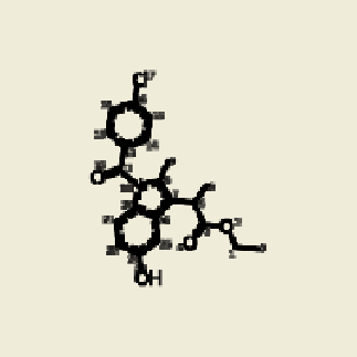 CCOC(=O)C(C)c1c(C)n(C(=O)c2ccc(Cl)cc2)c2ccc(O)cc12